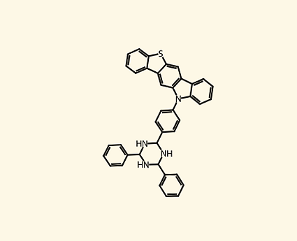 c1ccc(C2NC(c3ccccc3)NC(c3ccc(-n4c5ccccc5c5cc6sc7ccccc7c6cc54)cc3)N2)cc1